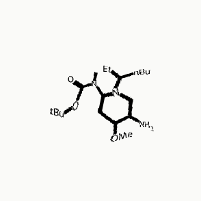 CCCCC(CC)N1CC(N)C(OC)CC1N(C)C(=O)OC(C)(C)C